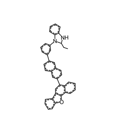 CCC1Nc2ccccc2N1c1cccc(-c2ccc3cc(-c4cc5c6ccccc6oc5c5ccccc45)ccc3c2)c1